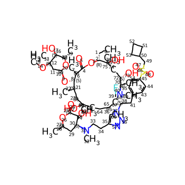 CC[C@H]1OC(=O)[C@H](C)[C@@H](O[C@H]2C[C@@](C)(OC)[C@@H](O)[C@H](C)O2)[C@H](C)[C@@H](O[C@@H]2O[C@H](C)C[C@H](N(C)CCc3cn([C@H](CF)Cc4ccc(S(=O)(=O)CC5CCC5)cc4)nn3)[C@H]2O)[C@](C)(O)CC[C@@H](C)CN(C)[C@H](C)[C@@H](O)C[C@]1(C)O